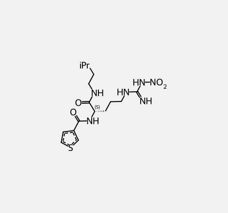 CC(C)CCNC(=O)[C@H](CCCNC(=N)N[N+](=O)[O-])NC(=O)c1ccsc1